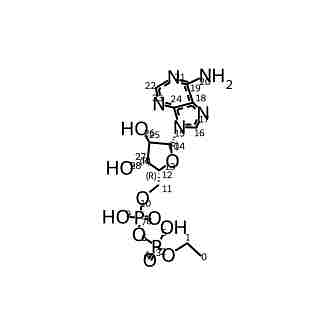 CCOP(=O)(O)OP(=O)(O)OC[C@H]1O[C@@H](n2cnc3c(N)ncnc32)C(O)[C@H]1O